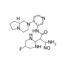 NC(N=O)C(C(=O)Nc1cnccc1N1CCN2CCC[C@H]2C1)C1NCC(F)CN1